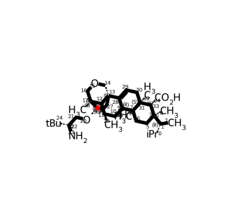 CC(C)[C@@H](C)[C@@]1(C)CC[C@]2(C)[C@H]3CC[C@@H]4[C@@]5(COC[C@]4(C)[C@@H](OC[C@H](N)C(C)(C)C)[C@H](C)C5)C3=CC[C@@]2(C)[C@@H]1C(=O)O